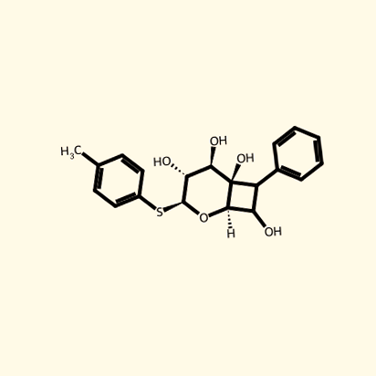 Cc1ccc(S[C@@H]2O[C@@H]3C(O)C(c4ccccc4)[C@@]3(O)[C@H](O)[C@H]2O)cc1